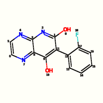 Oc1nc2nccnc2c(O)c1-c1ccccc1F